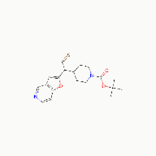 CC(C)(C)OC(=O)N1CCC(C(C=S)c2cc3cnccc3o2)CC1